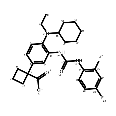 CCN(c1ccc(C2(C(=O)O)CCC2)cc1NC(=O)Nc1ccc(F)cc1F)C1CCCCC1